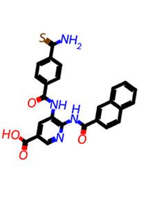 NC(=S)c1ccc(C(=O)Nc2cc(C(=O)O)cnc2NC(=O)c2ccc3ccccc3c2)cc1